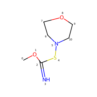 COC(=N)SN1CCOCC1